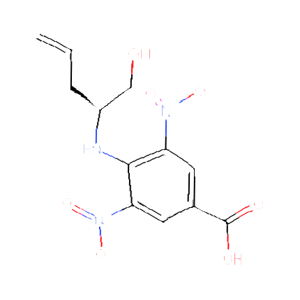 C=CC[C@@H](CO)Nc1c([N+](=O)[O-])cc(C(=O)O)cc1[N+](=O)[O-]